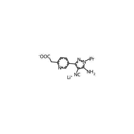 CC(C)n1nc(-c2ccc(CC(=O)[O-])nc2)c(C#N)c1N.[Li+]